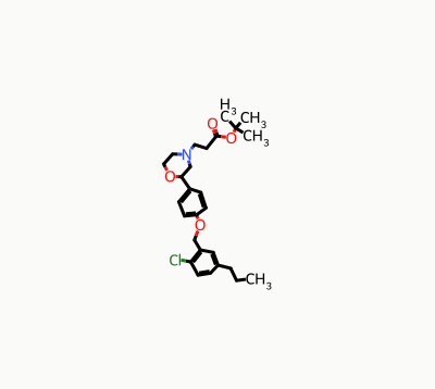 CCCc1ccc(Cl)c(COc2ccc(C3CN(CCC(=O)OC(C)(C)C)CCO3)cc2)c1